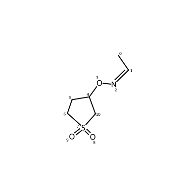 C/C=N\OC1CCS(=O)(=O)C1